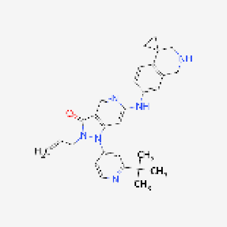 C=CCn1c(=O)c2cnc(Nc3ccc4c(c3)CNCC43CC3)cc2n1-c1ccnc(C(C)(C)C)c1